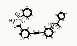 C[S@@](=O)(=NC(=O)c1cncc(C#Cc2cccc(NC(=O)c3cccs3)c2)c1)c1ccccc1